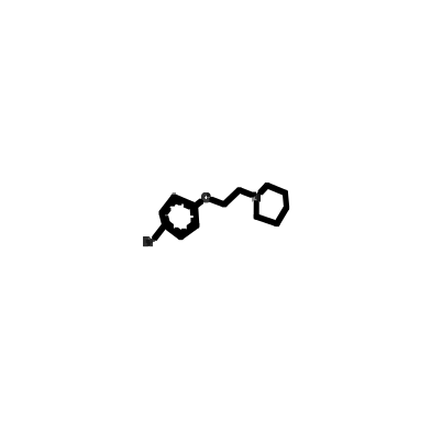 Brc1c[c]c(OCCN2CCCCC2)cc1